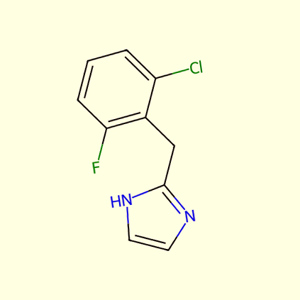 Fc1cccc(Cl)c1Cc1ncc[nH]1